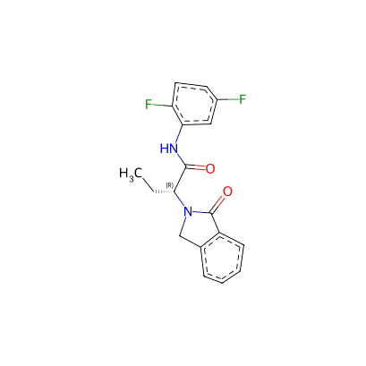 CC[C@H](C(=O)Nc1cc(F)ccc1F)N1Cc2ccccc2C1=O